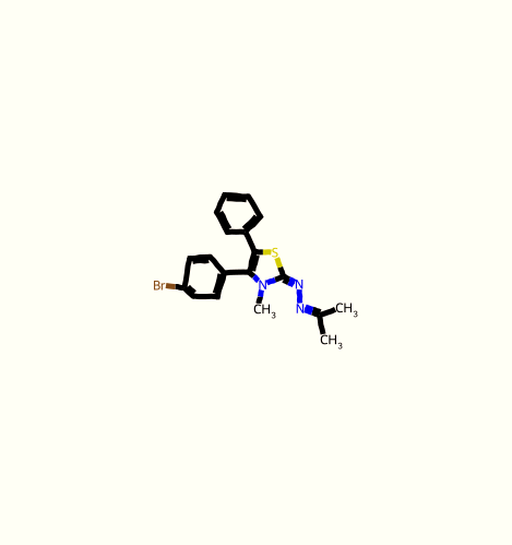 CC(C)=NN=c1sc(-c2ccccc2)c(-c2ccc(Br)cc2)n1C